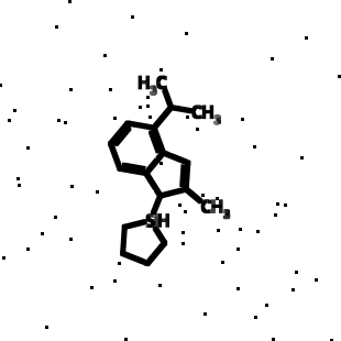 CC1=Cc2c(C(C)C)cccc2C1[SiH]1CCCC1